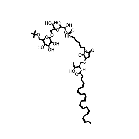 CC/C=C\C/C=C\C/C=C\C/C=C\C/C=C\C/C=C\CCC(=O)N[C@H](CSC1CC(=O)N(CCCCCNC(=O)O[C@H](O)C(O)OC(COC2OC(COC(C)(C)C)C(O)C(O)C2O)[C@H](C)O)C1=O)C(=O)O